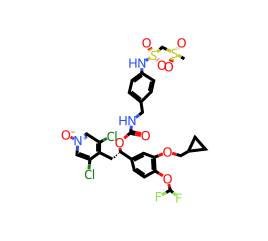 CS(=O)(=O)CS(=O)(=O)Nc1ccc(CNC(=O)O[C@@H](Cc2c(Cl)c[n+]([O-])cc2Cl)c2ccc(OC(F)F)c(OCC3CC3)c2)cc1